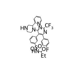 CCC(=O)NS(=O)(=O)c1cccc(-c2c(-c3ccc(F)cc3)nc(C(F)(F)F)nc2N2CCNCC2c2ccccn2)c1